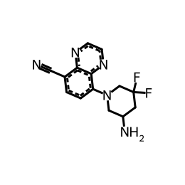 N#Cc1ccc(N2CC(N)CC(F)(F)C2)c2nccnc12